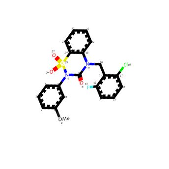 COc1cccc(N2C(=O)N(Cc3c(F)cccc3Cl)c3ccccc3S2(=O)=O)c1